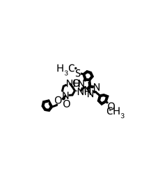 CCSc1cccc2c1nc(N[C@@H]1CN(C(=O)OCc3ccccc3)CCNC1=O)n1nc(-c3ccc(OC)cc3)nc21